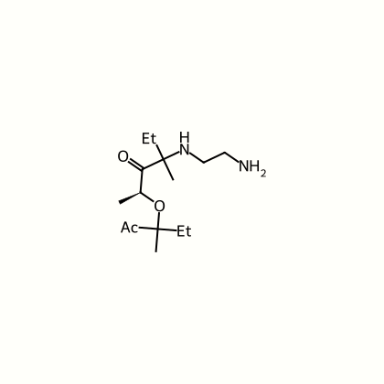 CCC(C)(NCCN)C(=O)[C@H](C)OC(C)(CC)C(C)=O